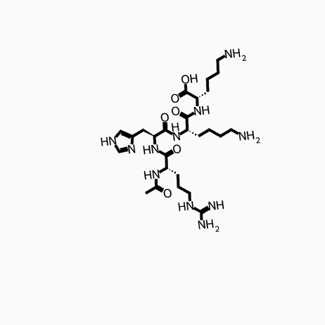 CC(=O)N[C@@H](CCCNC(=N)N)C(=O)N[C@@H](Cc1c[nH]cn1)C(=O)N[C@@H](CCCCN)C(=O)N[C@@H](CCCCN)C(=O)O